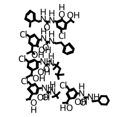 CC(O)c1cc(Cl)cc(NC(=O)NC(C)(C)C)c1O.CC(O)c1cc(Cl)cc(NC(=O)NC(C)(C)CC(C)(C)C)c1O.CC(O)c1cc(Cl)cc(NC(=O)NCC2CCCCC2)c1O.CC(O)c1cc(Cl)cc(NC(=O)NCCc2ccccc2)c1O.Cc1ccccc1CNC(=O)Nc1cc(Cl)cc(C(C)O)c1O